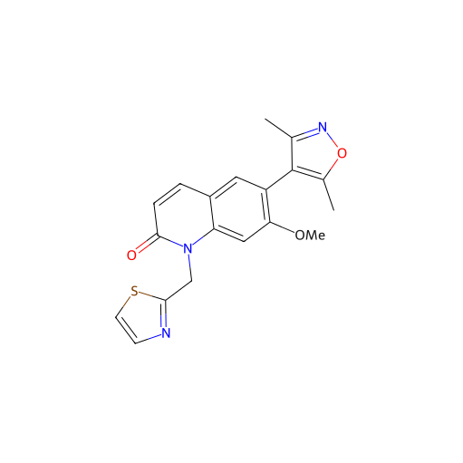 COc1cc2c(ccc(=O)n2Cc2nccs2)cc1-c1c(C)noc1C